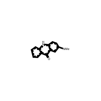 CNc1ccc2[nH]c3ccccc3c(=O)c2c1